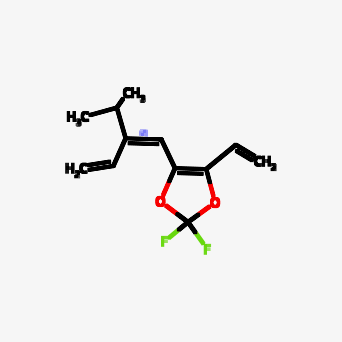 C=CC1=C(/C=C(\C=C)C(C)C)OC(F)(F)O1